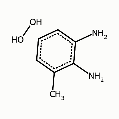 Cc1cccc(N)c1N.OO